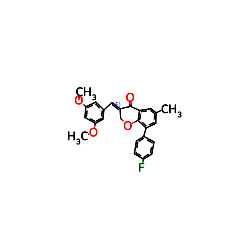 COc1cc(/C=C2\COc3c(cc(C)cc3-c3ccc(F)cc3)C2=O)cc(OC)c1